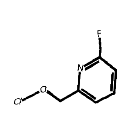 Fc1cccc(COCl)n1